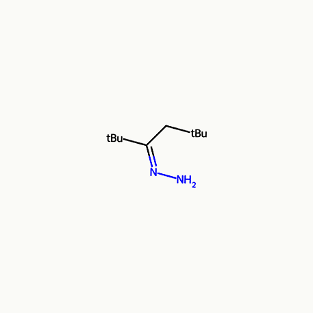 CC(C)(C)C/C(=N\N)C(C)(C)C